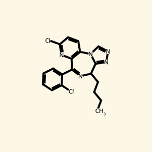 CCCCC1N=C(c2ccccc2Cl)c2nc(Cl)ccc2-n2cnnc21